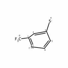 FC(F)(F)c1cc([S])ccn1